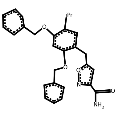 CC(C)c1cc(Cc2cc(C(N)=O)no2)c(OCc2ccccc2)cc1OCc1ccccc1